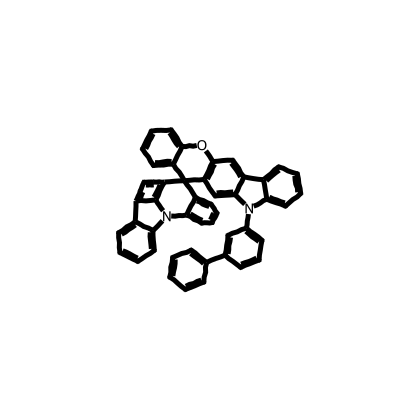 c1ccc(-c2cccc(-n3c4ccccc4c4cc5c(cc43)C3(c4ccccc4O5)c4ccccc4-n4c5ccccc5c5cccc3c54)c2)cc1